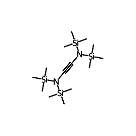 C[Si](C)(C)N(C#CN([Si](C)(C)C)[Si](C)(C)C)[Si](C)(C)C